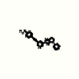 Nc1ncc(C#Cc2cncc(-n3nc4c(n3)[C@@H](c3ccccc3)CC4)c2)cn1